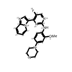 COc1cc(N2CC[N]CC2)ccc1Nc1ncc(F)c(-c2cnc3ccccn23)n1